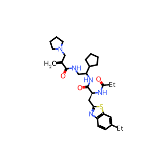 C=C(CN1CCCC1)C(=O)NCC(NC(=O)[C@H](Cc1nc2ccc(CC)cc2s1)NC(=O)CC)C1CCCC1